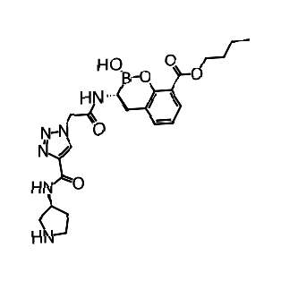 CCCCOC(=O)c1cccc2c1OB(O)[C@@H](NC(=O)Cn1cc(C(=O)N[C@H]3CCNC3)nn1)C2